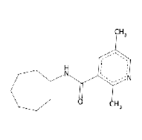 Cc1cnc(C)c(C(=O)NC2CCCCCC2)c1